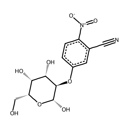 N#Cc1cc(O[C@@H]2[C@@H](O)[C@@H](O)[C@@H](CO)O[C@H]2O)ccc1[N+](=O)[O-]